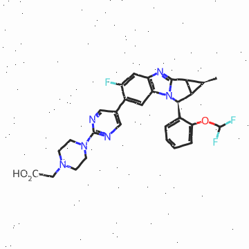 C[C@@H]1C2c3nc4cc(F)c(-c5cnc(N6CCN(CC(=O)O)CC6)nc5)cc4n3[C@H](c3ccccc3OC(F)F)C21